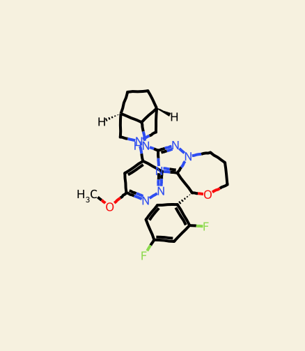 COc1cc(N2C[C@H]3CC[C@H](C2)C3Nc2nc3n(n2)CCCO[C@@H]3c2ccc(F)cc2F)cnn1